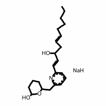 CCCCC/C=C/CC(O)/C=C/c1cccc(CC2CCCC(O)O2)n1.[NaH]